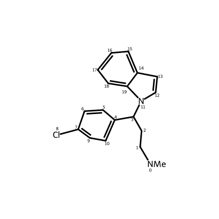 CNCCC(c1ccc(Cl)cc1)n1ccc2ccccc21